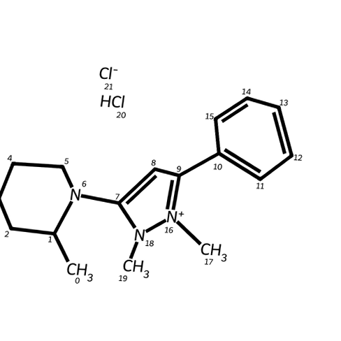 CC1CCCCN1c1cc(-c2ccccc2)[n+](C)n1C.Cl.[Cl-]